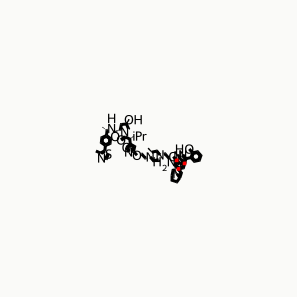 Cc1ncsc1-c1ccc([C@H](C)NC(=O)[C@@H]2C[C@@H](O)CN2C(=O)[C@@H](c2cc(OCCN3CCN(CCOc4cc(N5C6CCC5CN(c5cc(-c7ccccc7O)nnc5N)C6)ccn4)C[C@@H]3C)no2)C(C)C)cc1